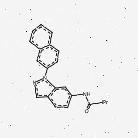 CC(C)C(=O)Nc1ccc2cnn(-c3ccc4ccccc4c3)c2c1